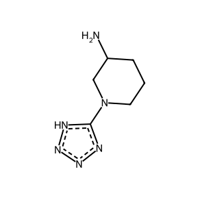 NC1CCCN(c2nnn[nH]2)C1